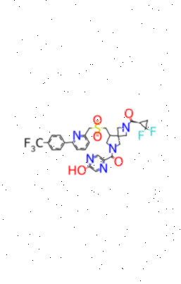 O=C(c1cnc(O)cn1)N1CC(CS(=O)(=O)Cc2cccc(-c3ccc(C(F)(F)F)cc3)n2)C2(C1)CN(C(=O)[C@H]1CC1(F)F)C2